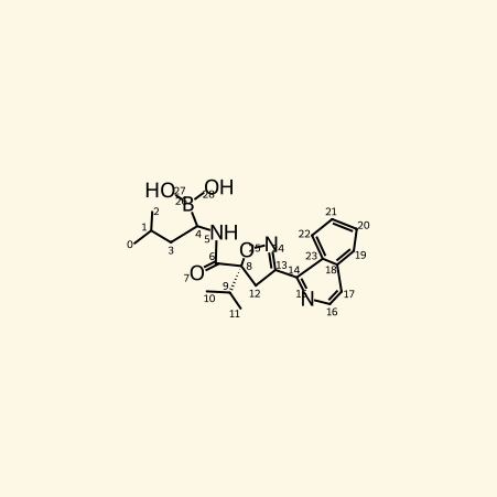 CC(C)CC(NC(=O)[C@]1(C(C)C)CC(c2nccc3ccccc23)=NO1)B(O)O